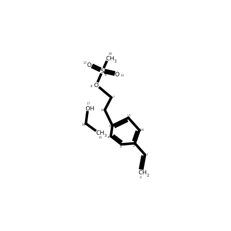 C=Cc1ccc(CCOS(C)(=O)=O)cc1.CCO